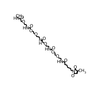 CNC(=O)COCCNC(=O)OCCOCCNC(=O)COCCNC(=O)OCCOCCNC(=O)CCCCCN1C(=O)C=C(C)C1=O